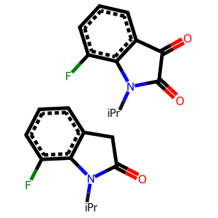 CC(C)N1C(=O)C(=O)c2cccc(F)c21.CC(C)N1C(=O)Cc2cccc(F)c21